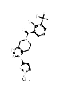 Cn1ccc(-n2nnc3c2CCN(C(=O)c2cccc(C(F)(F)F)c2Cl)C3)n1